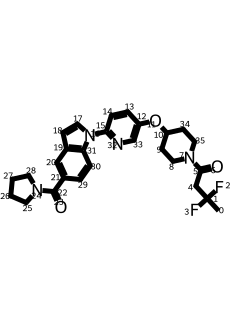 CC(F)(F)CC(=O)N1CCC(Oc2ccc(-n3ccc4cc(C(=O)N5CCCC5)ccc43)nc2)CC1